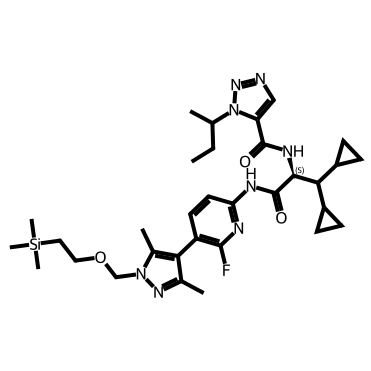 CCC(C)n1nncc1C(=O)N[C@H](C(=O)Nc1ccc(-c2c(C)nn(COCC[Si](C)(C)C)c2C)c(F)n1)C(C1CC1)C1CC1